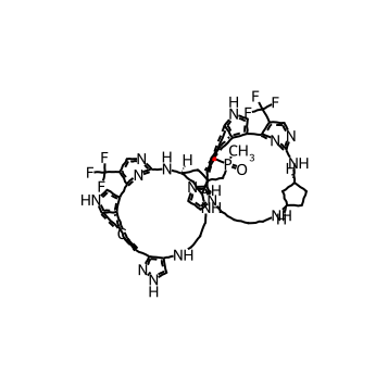 CP(=O)(CC1C[C@H]2C[C@H]1NCCCNc1c[nH]nc1-c1ccc3c(c[nH]c3c1)-c1nc(ncc1C(F)(F)F)N2)c1c2ccc3c(c[nH]c13)-c1nc(ncc1C(F)(F)F)N[C@H]1CC[C@@H](C1)NCCCCn1ccnc1-2